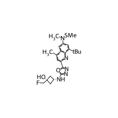 CSN(C)c1cc(C(C)(C)C)c2nc(-c3nnc(N[C@H]4C[C@](O)(CF)C4)o3)cc(C)c2c1